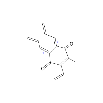 C=C/C=C1/C(=O)C(C)=C(C=C)C(=O)/C1=C/C=C